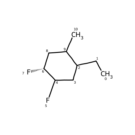 CCC1CC(F)[C@H](F)CC1C